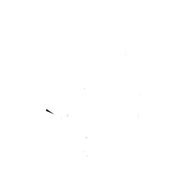 O=[PH](O)OC1(O[PH](=O)O)C[C@H]2CCCN(Cl)[C@@H]2C1